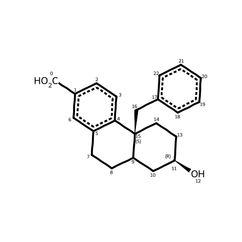 O=C(O)c1ccc2c(c1)CCC1C[C@H](O)CC[C@@]21Cc1ccccc1